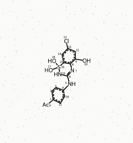 CC(=O)c1ccc(NC2=Nc3c(O)cc(Cl)cc3S(O)(O)N2)cc1